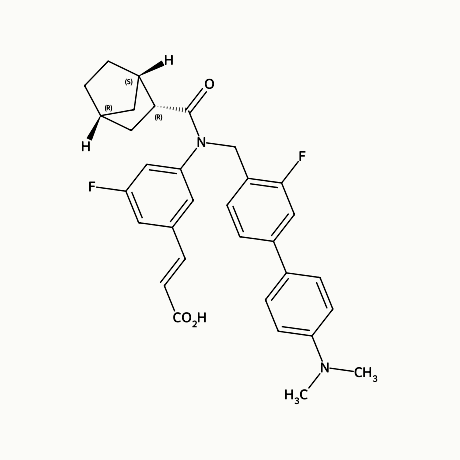 CN(C)c1ccc(-c2ccc(CN(C(=O)[C@@H]3C[C@@H]4CC[C@H]3C4)c3cc(F)cc(C=CC(=O)O)c3)c(F)c2)cc1